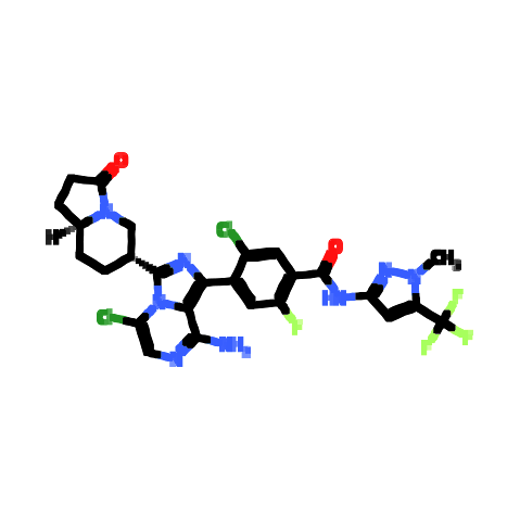 Cn1nc(NC(=O)c2cc(Cl)c(-c3nc([C@@H]4CC[C@H]5CCC(=O)N5C4)n4c(Cl)cnc(N)c34)cc2F)cc1C(F)(F)F